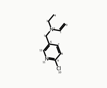 C=CN(CC)Cc1ccc(Cl)nc1